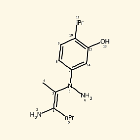 CCC/C(N)=C(/C)N(N)c1ccc(C(C)C)c(O)c1